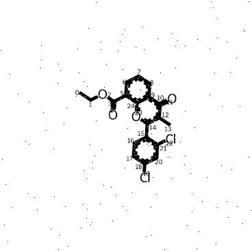 CCOC(=O)c1cccc2c(=O)c(C)c(-c3ccc(Cl)cc3Cl)oc12